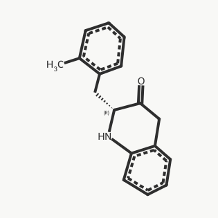 Cc1ccccc1C[C@H]1Nc2ccccc2CC1=O